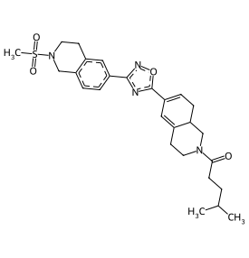 CC(C)CCC(=O)N1CCC2=CC(c3nc(-c4ccc5c(c4)CCN(S(C)(=O)=O)C5)no3)=CCC2C1